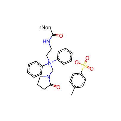 CCCCCCCCCC(=O)NCC[N+](CN1CCCC1=O)(c1ccccc1)c1ccccc1.Cc1ccc(S(=O)(=O)[O-])cc1